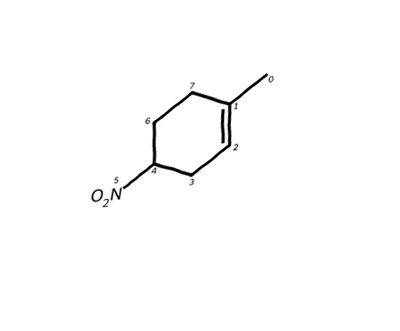 CC1=CCC([N+](=O)[O-])CC1